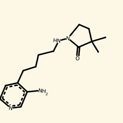 CC1(C)CCN(NCCCCc2ccncc2N)C1=O